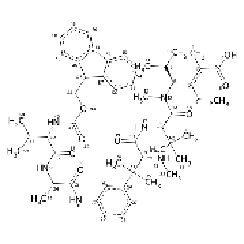 CCC(=C(C)C(=O)O)[C@H](C(C)C)N(C)C(=O)[C@@H](NC(=O)[C@H](NC)C(C)(C)c1cccc(NC(=O)[C@H](C)NC(=O)[C@@H](NC(=O)OCC2c3ccccc3-c3ccccc32)C(C)C)c1)C(C)(C)C